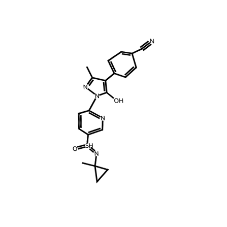 Cc1nn(-c2ccc(/[SH](=O)=N/C3(C)CC3)cn2)c(O)c1-c1ccc(C#N)cc1